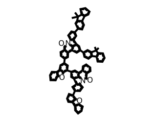 CC1(C)c2ccccc2-c2ccc(-c3ccc4c(c3)c3cc(-c5ccc6c(c5)C(C)(C)c5ccccc5-6)cc5c6cc(-c7cc(-c8cc9c%10ccccc%10c(=O)n%10c%11ccc(-c%12cccc%13c%12oc%12ccccc%12%13)cc%11c(c8)c9%10)c8oc9ccccc9c8c7)ccc6c(=O)n4c53)cc21